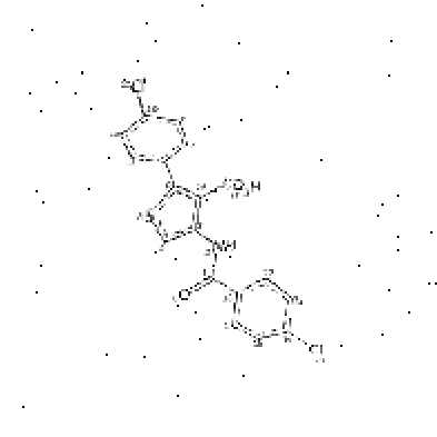 O=C(Nc1csc(-c2ccc(Cl)cc2)c1C(=O)O)c1ccc(Cl)cc1